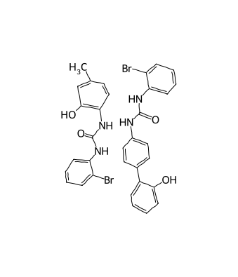 Cc1ccc(NC(=O)Nc2ccccc2Br)c(O)c1.O=C(Nc1ccc(-c2ccccc2O)cc1)Nc1ccccc1Br